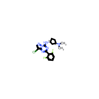 CN(C)[C@@H]1CC[C@@H](Nc2nc(-c3c(F)cccc3F)nc3c(Cl)cnn23)C1